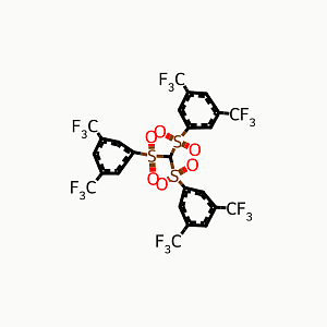 O=S(=O)(c1cc(C(F)(F)F)cc(C(F)(F)F)c1)C(S(=O)(=O)c1cc(C(F)(F)F)cc(C(F)(F)F)c1)S(=O)(=O)c1cc(C(F)(F)F)cc(C(F)(F)F)c1